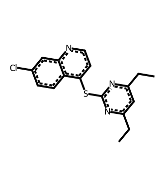 CCc1cc(CC)nc(Sc2ccnc3cc(Cl)ccc23)n1